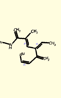 C=C(/C=C\C(C)(C)C)C(=C\C)/C=C(\C)C(=C)NCCC